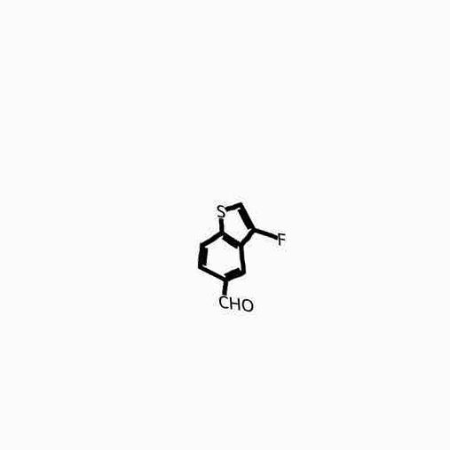 O=Cc1ccc2scc(F)c2c1